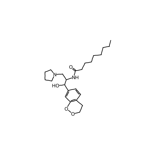 CCCCCCCCC(=O)NC(CN1CCCC1)C(O)c1ccc2c(c1)OOCC2